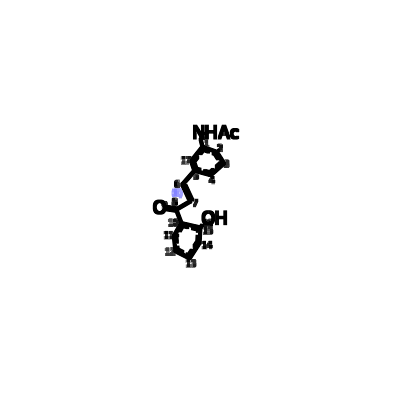 CC(=O)Nc1cccc(/C=C/C(=O)c2ccccc2O)c1